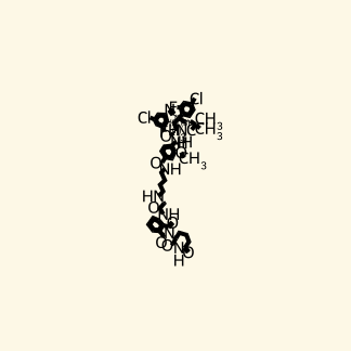 COc1cc(C(=O)NCCCCNCC(=O)Nc2cccc3c2C(=O)N(C2CCCC(=O)NC2=O)C3=O)ccc1NC(=O)[C@@H]1N[C@@H](CC(C)(C)C)[C@](C#N)(c2ccc(Cl)cc2F)[C@H]1c1ccc(Cl)cc1F